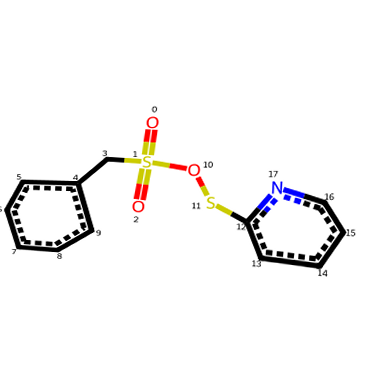 O=S(=O)(Cc1ccccc1)OSc1ccccn1